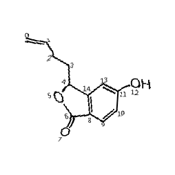 C=CCCC1OC(=O)c2ccc(O)cc21